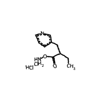 CCC(Cc1cccnc1)C(=O)ON.Cl.Cl